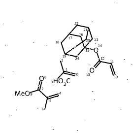 C=C(C)C(=O)O.C=C(C)C(=O)OC.C=CC(=O)OC12CC3CC(CC(C3)C1)C2